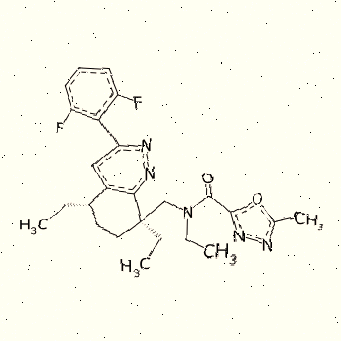 CC[C@H]1CC[C@](CC)(CN(CC)C(=O)c2nnc(C)o2)c2nnc(-c3c(F)cccc3F)cc21